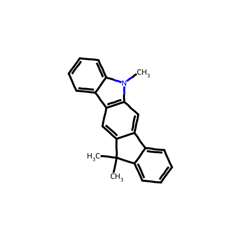 Cn1c2ccccc2c2cc3c(cc21)-c1ccccc1C3(C)C